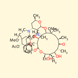 CC[C@H]1OC(=O)[C@H](C)[C@@H](O[C@H]2C[C@@](C)(OC)[C@@H](OC(C)=O)[C@H](C)O2)[C@H](C)[C@@H](O[C@@H]2O[C@H](C)C[C@@H](N(C)CCc3ccccc3)[C@@H]2N(C)C)[C@@](C)(OC)C[C@@H](C)C(=O)[C@H](C)[C@@H](O)[C@]1(C)O